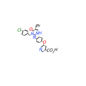 CC(C)c1c[nH]/c(=N\c2ccc(Oc3cncc(C(=O)O)c3)cc2)n(Cc2ccc(Cl)cc2)c1=O